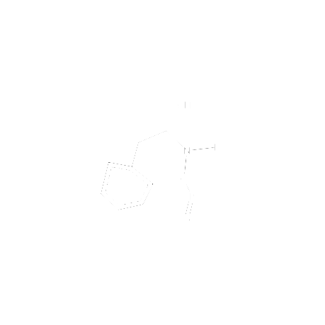 CCN(OP=O)[C@@H](C)Cc1ccccc1